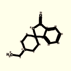 CCN1CCC2(CC1)OC(=O)c1ccccc12